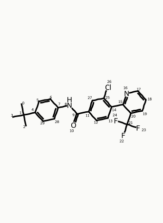 CC(C)(C)c1ccc(NC(=O)c2ccc(-c3ncccc3C(F)(F)F)c(Cl)c2)cc1